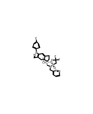 C[C@]12Cc3cnn(-c4ccc(F)cc4)c3C=C1CC[C@@H]2CN(Cc1cccnn1)S(=O)(=O)CC(F)(F)F